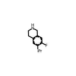 CC(C)c1cc2c(cc1F)CNCC2